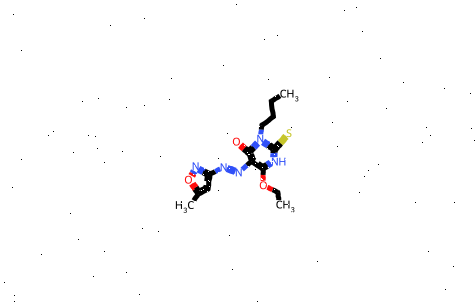 CCCCn1c(=S)[nH]c(OCC)c(/N=N/c2cc(C)on2)c1=O